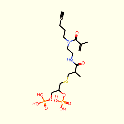 C#[Si]CCCN(CCNC(=O)C(C)CSCC(COP(=O)(O)O)OP(=O)(O)O)C(=O)C(=C)C